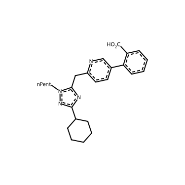 CCCCCn1nc(C2CCCCC2)nc1Cc1ccc(-c2ccccc2C(=O)O)cn1